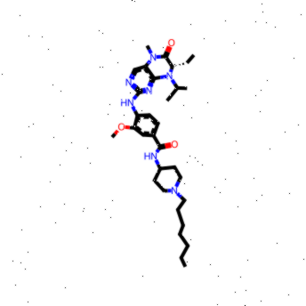 CCCCCCCN1CCC(NC(=O)c2ccc(Nc3ncc4c(n3)N(C(C)C)[C@@H](CC)C(=O)N4C)c(OC)c2)CC1